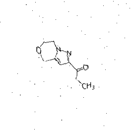 CCC(=O)c1cc2n(n1)CCOC2